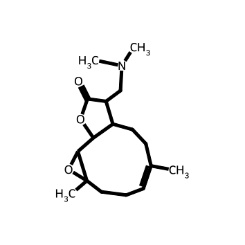 C/C1=C/CCC2(C)OC2C2OC(=O)C(CN(C)C)C2CC1